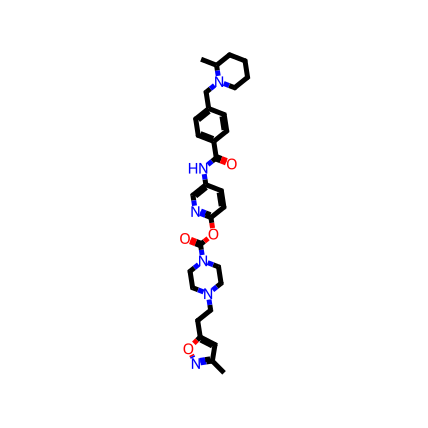 Cc1cc(CCN2CCN(C(=O)Oc3ccc(NC(=O)c4ccc(CN5CCCCC5C)cc4)cn3)CC2)on1